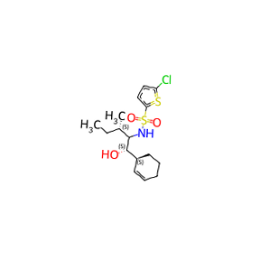 CC[C@H](C)C(NS(=O)(=O)c1ccc(Cl)s1)[C@@H](O)[C@@H]1C=CCCC1